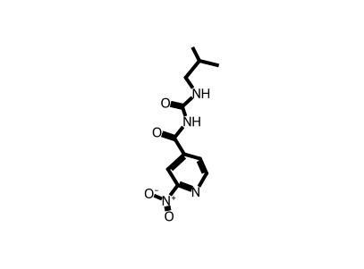 CC(C)CNC(=O)NC(=O)c1ccnc([N+](=O)[O-])c1